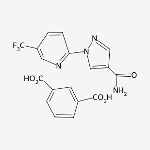 NC(=O)c1cnn(-c2ccc(C(F)(F)F)cn2)c1.O=C(O)c1cccc(C(=O)O)c1